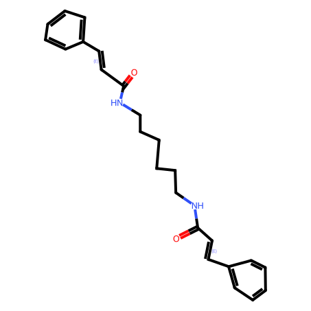 O=C(/C=C/c1ccccc1)NCCCCCCNC(=O)/C=C/c1ccccc1